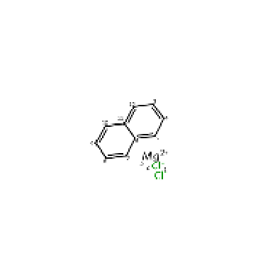 [Cl-].[Cl-].[Mg+2].c1ccc2ccccc2c1